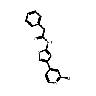 O=C(Cc1ccccc1)Nc1nc(-c2ccnc(Cl)c2)cs1